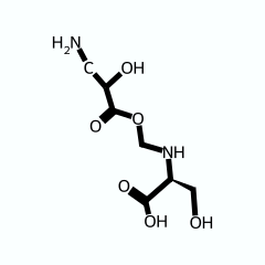 NCC(O)C(=O)OCN[C@@H](CO)C(=O)O